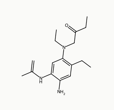 C=C(C)Nc1cc(N(CC)CC(=O)CC)c(CC)cc1N